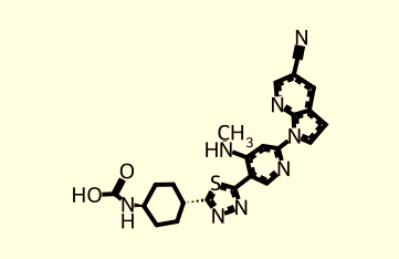 CNc1cc(-n2ccc3cc(C#N)cnc32)ncc1-c1nnc([C@H]2CC[C@H](NC(=O)O)CC2)s1